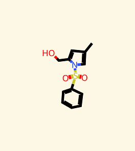 Cc1cc(CO)n(S(=O)(=O)c2ccccc2)c1